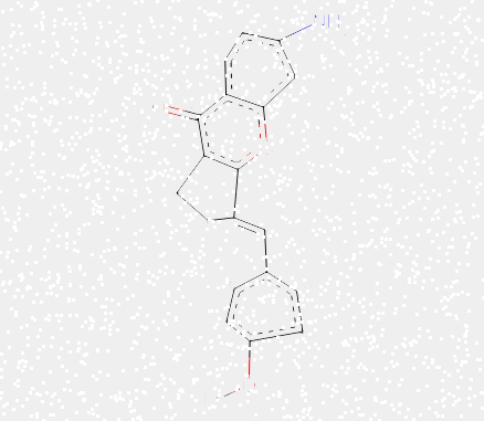 CCOc1ccc(/C=C2\CCc3c2oc2cc(N)ccc2c3=O)cc1